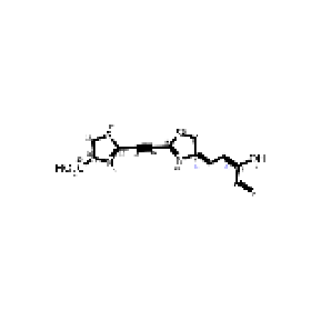 C=C/C(O)=C\C=C1/CSC(C#CC2=N[C@@H](C(=O)O)CS2)=N1